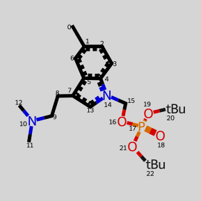 Cc1ccc2c(c1)c(CCN(C)C)cn2COP(=O)(OC(C)(C)C)OC(C)(C)C